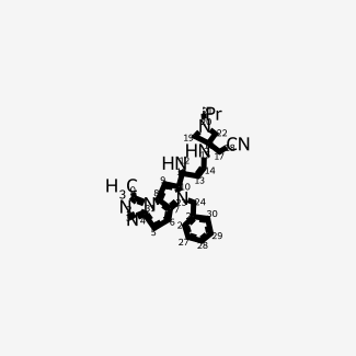 Cc1nnc2ccc3c(cc(C(=N)/C=C\NC4(CC#N)CN(C(C)C)C4)n3Cc3ccccc3)n12